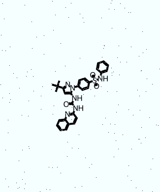 CC(C)(C)c1cc(NC(=O)Nc2ccc3ccccc3n2)n(-c2ccc(S(=O)(=O)Nc3ccccc3)cc2)n1